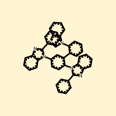 c1ccc(-c2nc3ccccc3n2-c2ccc(-n3c(-c4ccccc4)nc4ccccc43)c(-c3ccccc3-n3cnc4ccccc43)c2)cc1